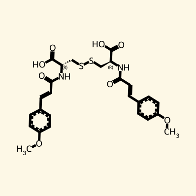 COc1ccc(C=CC(=O)N[C@@H](CSSC[C@H](NC(=O)C=Cc2ccc(OC)cc2)C(=O)O)C(=O)O)cc1